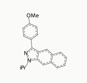 COc1ccc(-c2nn(C(C)C)c3cc4ccccc4cc23)cc1